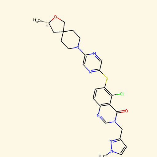 C[C@H]1CC2(CCN(c3cnc(Sc4ccc5ncn(Cc6ccn(C)n6)c(=O)c5c4Cl)cn3)CC2)CO1